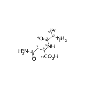 CC(C)C(N)C(=O)NC(CC(N)=O)C(=O)O